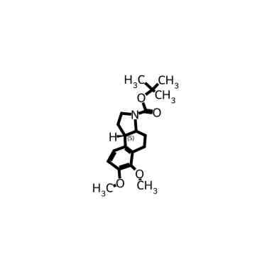 COc1ccc2c(c1OC)CCC1[C@H]2CCN1C(=O)OC(C)(C)C